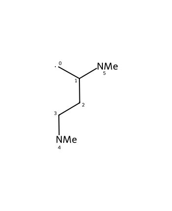 [CH2]C(CCNC)NC